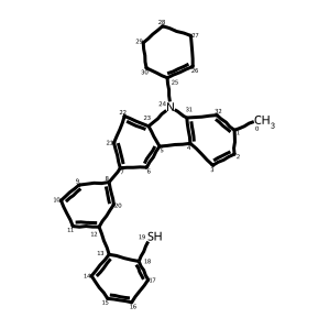 Cc1ccc2c3cc(-c4cccc(-c5ccccc5S)c4)ccc3n(C3=CCCCC3)c2c1